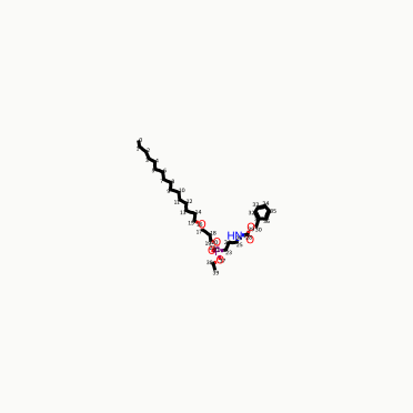 CCCCCCCCCCCCCCCCOCCCOP(=O)(CCCNC(=O)OCc1ccccc1)OCC